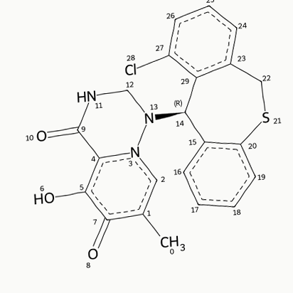 Cc1cn2c(c(O)c1=O)C(=O)NCN2[C@@H]1c2ccccc2SCc2cccc(Cl)c21